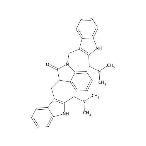 CN(C)Cc1[nH]c2ccccc2c1CC1C(=O)N(Cc2c(CN(C)C)[nH]c3ccccc23)c2ccccc21